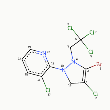 ClC1=C(Br)N(CC(Cl)(Cl)Cl)N(c2ncccc2Cl)[CH]1